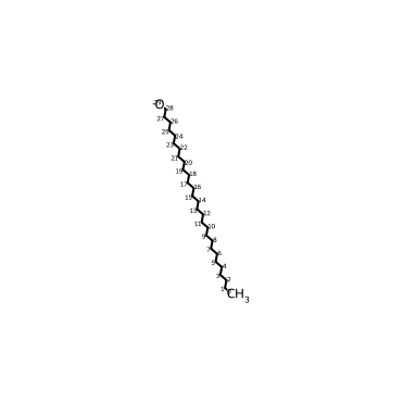 CCCCCCCCCCCCCCCCCCCCCCCCCCCCC[O]